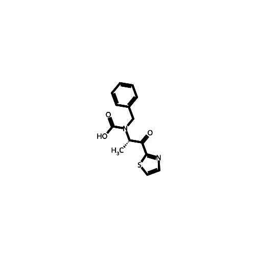 C[C@@H](C(=O)c1nccs1)N(Cc1ccccc1)C(=O)O